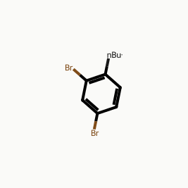 CCC[CH]c1ccc(Br)cc1Br